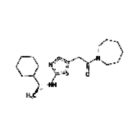 C[C@H](Nc1ncc(CC(=O)N2CCCCCC2)s1)C1CCCCC1